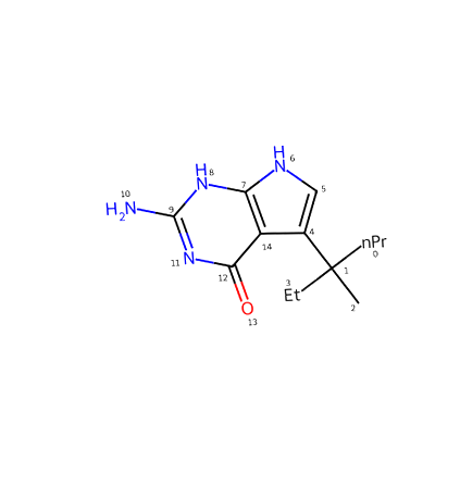 CCCC(C)(CC)c1c[nH]c2[nH]c(N)nc(=O)c12